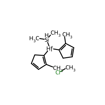 CC1=[C]([Hf]([C]2=C(C)C=CC2)[SiH](C)C)CC=C1.CCl